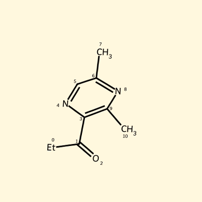 CCC(=O)c1ncc(C)nc1C